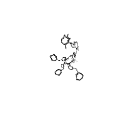 Cc1ccncc1N1CC[C@H](CN2C[C@H](OCc3ccccc3)[C@@H](OCc3ccccc3)[C@H](OCc3ccccc3)[C@H]2C)C1